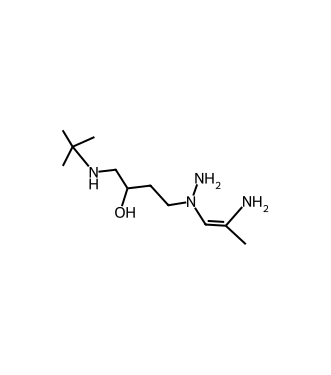 C/C(N)=C/N(N)CCC(O)CNC(C)(C)C